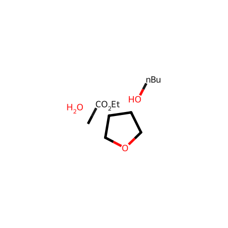 C1CCOC1.CCCCO.CCOC(C)=O.O